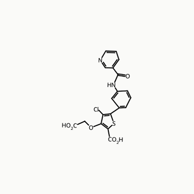 O=C(O)COc1c(C(=O)O)sc(-c2cccc(NC(=O)c3cccnc3)c2)c1Cl